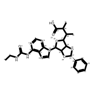 CCNC(=O)Nc1ncnc2c1ncn2C1OC(C(C)C(C)C(=O)O)C2O[C@H](c3ccccc3)OC21